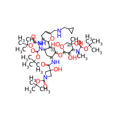 CN(C(=O)OC(C)(C)C)[C@@H]1[C@@H](O)[C@@H](O[C@@H]2[C@@H](O)[C@H](C3OC(CNCC4CC4)=CC[C@H]3NC(=O)OC(C)(C)C)[C@@H](NC(=O)OC(C)(C)C)C[C@H]2NC(=O)C2(O)CN(C(=O)OC(C)(C)C)C2)OC[C@]1(C)O